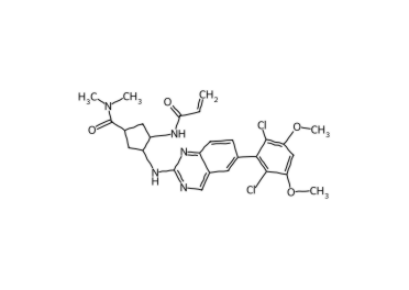 C=CC(=O)NC1CC(C(=O)N(C)C)CC1Nc1ncc2cc(-c3c(Cl)c(OC)cc(OC)c3Cl)ccc2n1